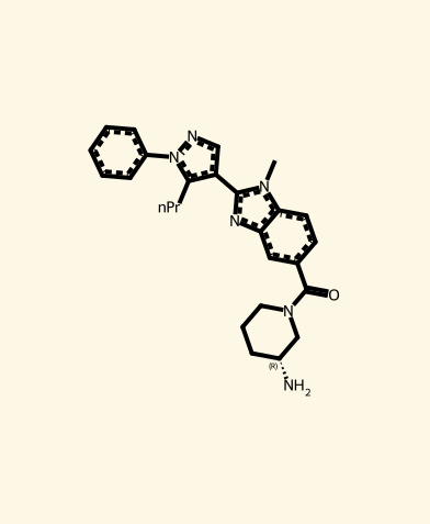 CCCc1c(-c2nc3cc(C(=O)N4CCC[C@@H](N)C4)ccc3n2C)cnn1-c1ccccc1